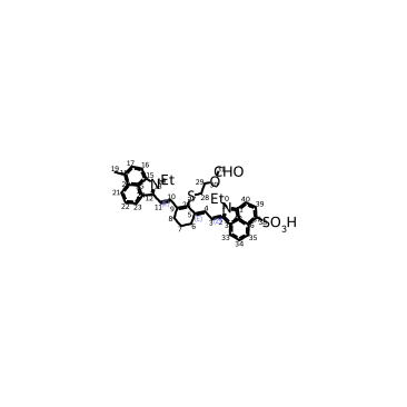 CCn1/c(=C\C=C2/CCCC(/C=C/C3=[N+](CC)c4ccc(C)c5cccc3c45)=C2SCCOC=O)c2cccc3c(S(=O)(=O)O)ccc1c32